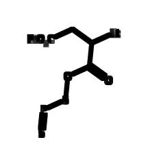 CCOC(=O)CC(CC)C(=O)OSP=S